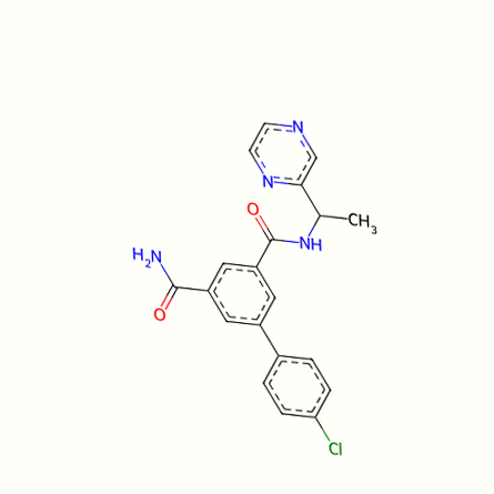 CC(NC(=O)c1cc(C(N)=O)cc(-c2ccc(Cl)cc2)c1)c1cnccn1